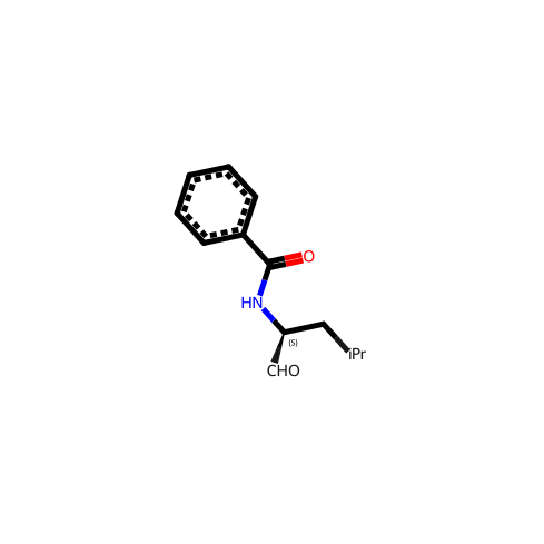 CC(C)C[C@@H](C=O)NC(=O)c1ccccc1